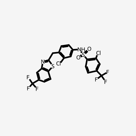 O=S(=O)(Nc1ccc(Cc2nc3cc(C(F)(F)F)ccc3s2)c(Cl)c1)c1ccc(C(F)(F)F)cc1Cl